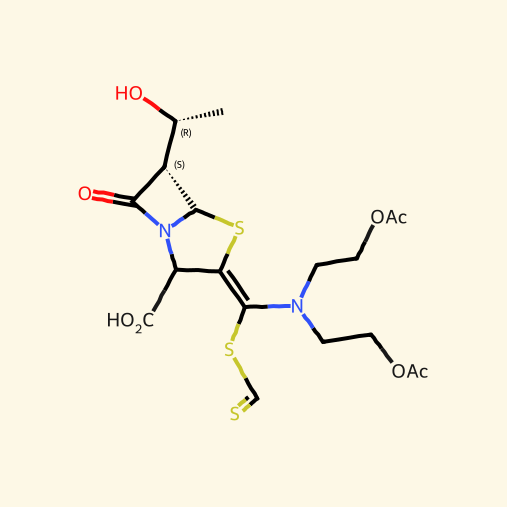 CC(=O)OCCN(CCOC(C)=O)C(SC=S)=C1SC2[C@@H]([C@@H](C)O)C(=O)N2C1C(=O)O